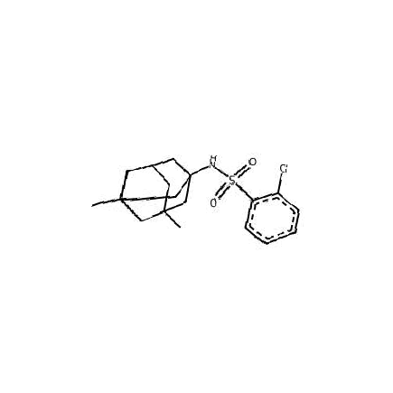 CC12CC3CC(C)(C1)CC(NS(=O)(=O)c1ccccc1Cl)(C3)C2